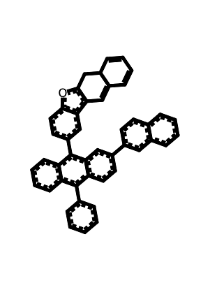 C1=CC2=Cc3c(oc4ccc(-c5c6ccccc6c(-c6ccccc6)c6ccc(-c7ccc8ccccc8c7)cc56)cc34)CC2C=C1